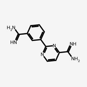 N=C(N)c1cccc(-c2nccc(C(=N)N)n2)c1